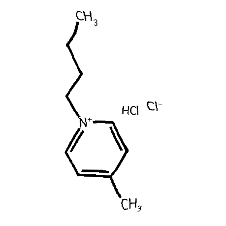 CCCC[n+]1ccc(C)cc1.Cl.[Cl-]